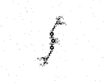 C=CC(=O)OCC(COCCCCOc1ccc(C(=O)Oc2ccc(OC(=O)c3ccc(OCCCCOCC(COC(=O)C=C)OC(=O)C=C)cc3)c(C(F)(F)F)c2C(F)(F)F)cc1)OC(=O)C=C